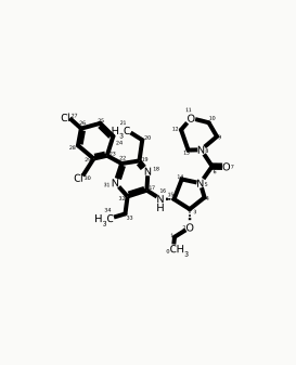 CCO[C@H]1CN(C(=O)N2CCOCC2)C[C@H]1Nc1nc(CC)c(-c2ccc(Cl)cc2Cl)nc1CC